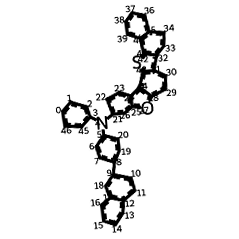 c1ccc(N(c2ccc(-c3ccc4ccccc4c3)cc2)c2ccc3c(c2)oc2ccc4c5ccc6ccccc6c5sc4c23)cc1